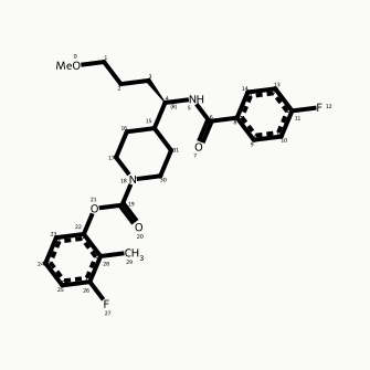 COCCC[C@@H](NC(=O)c1ccc(F)cc1)C1CCN(C(=O)Oc2cccc(F)c2C)CC1